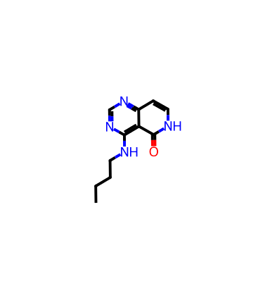 CCCCNc1ncnc2cc[nH]c(=O)c12